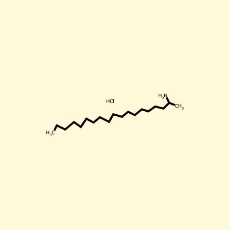 CCCCCCCCCCCCCCCCCC(C)N.Cl